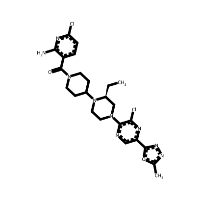 CC[C@H]1CN(c2ncc(-c3nnc(C)o3)nc2Cl)CCN1C1CCN(C(=O)c2ccc(Cl)nc2N)CC1